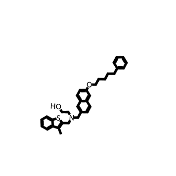 Cc1c(CN(CCO)Cc2ccc3cc(OCCCCCc4ccccc4)ccc3c2)sc2ccccc12